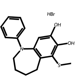 Br.CSc1c(O)c(O)cc2c1CCCCN2c1ccccc1